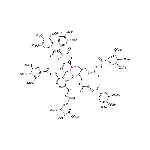 COc1cc(C(=O)OOC(=O)OCCC(COC(=O)OOC(=O)c2cc(OC)c(OC)c(OC)c2)C(COC(=O)OOC(=O)c2cc(OC)c(OC)c(OC)c2)C(COC(=O)OOC(=O)c2cc(OC)c(OC)c(OC)c2)C(CCOC(=O)OOC(=O)c2cc(OC)c(OC)c(OC)c2)COC(=O)OOC(=O)c2cc(OC)c(OC)c(OC)c2)cc(OC)c1OC